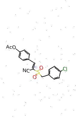 CC(=O)Oc1ccc(/C=C(\C#N)S(=O)(=O)Cc2ccc(Cl)cc2)cc1